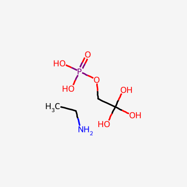 CCN.O=P(O)(O)OCC(O)(O)O